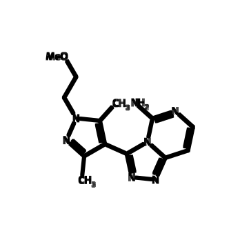 COCCn1nc(C)c(-c2nnc3ccnc(N)n23)c1C